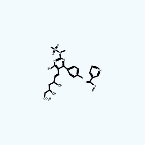 CC(C)c1nc(N(C)S(C)(=O)=O)nc(-c2ccc(F)cc2)c1/C=C/C(O)CC(O)CC(=O)O.O=C(OF)c1cccnc1